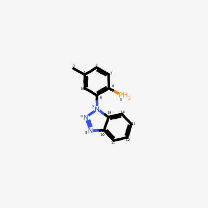 Cc1ccc(P)c(-n2nnc3ccccc32)c1